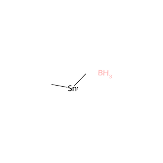 B.[CH3][Sn][CH3]